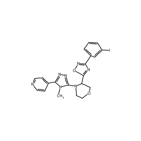 Cn1c(-c2ccncc2)nnc1N1CCOCC1c1nc(-c2cccc(I)c2)no1